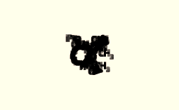 Cc1nc2ccccc2c2c1O[C@]1(CC2O)C[C@H]2C(=O)N[C@]3(C(=O)NS(=O)(=O)C4(C)CC4)C[C@H]3/C=C\CCCCC[C@H](NC(=O)OC(C)C)C(=O)N2C1